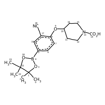 CC1(C)OB(c2ccc(OC3CCN(C(=O)O)CC3)c(C#N)c2)OC1(C)C